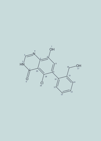 O=c1[nH]cnc2c(O)cc(-c3ccccc3CO)c(Cl)c12